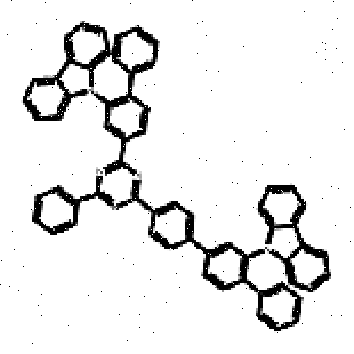 c1ccc(-c2nc(-c3ccc(-c4ccc(-c5ccccc5)c(-n5c6ccccc6c6ccccc65)c4)cc3)nc(-c3ccc(-c4ccccc4)c(-n4c5ccccc5c5ccccc54)c3)n2)cc1